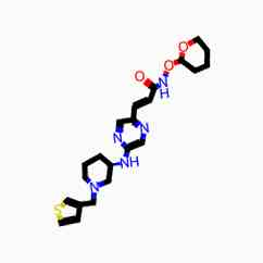 O=C(C=Cc1cnc(N[C@@H]2CCCN(Cc3ccsc3)C2)cn1)NOC1CCCCO1